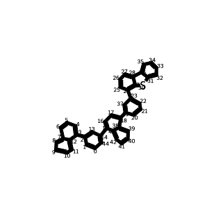 c1cc(-c2cccc3ccccc23)cc(-c2ccc(-c3cccc(-c4cccc5c4sc4ccccc45)c3)c3ccccc23)c1